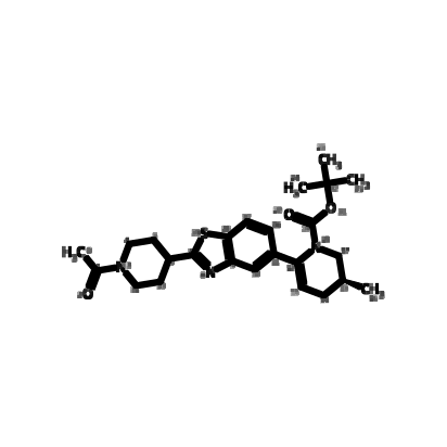 CC(=O)N1CCC(c2nc3cc(C4=CC[C@H](C)CN4C(=O)OC(C)(C)C)ccc3s2)CC1